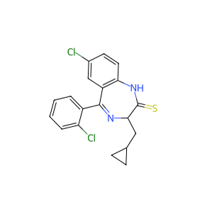 S=C1Nc2ccc(Cl)cc2C(c2ccccc2Cl)=NC1CC1CC1